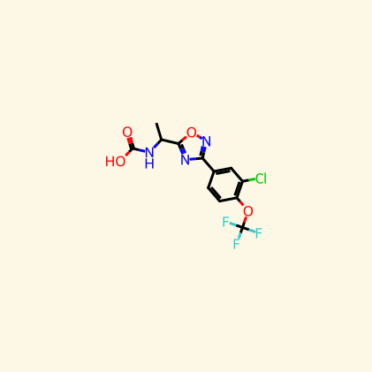 CC(NC(=O)O)c1nc(-c2ccc(OC(F)(F)F)c(Cl)c2)no1